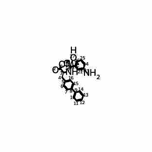 COC(=O)[C@H](Cc1ccc(-c2ccccc2)cc1)NC(=O)c1cc(N)ccc1O